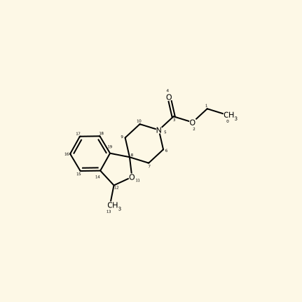 CCOC(=O)N1CCC2(CC1)OC(C)c1ccccc12